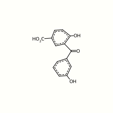 O=C(O)c1ccc(O)c(C(=O)c2cccc(O)c2)c1